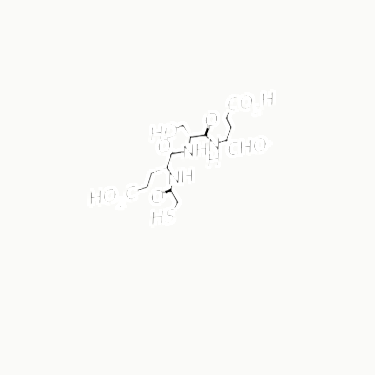 O=[C][C@H](CCC(=O)O)NC(=O)[C@H](CO)NC(=O)[C@H](CCC(=O)O)NC(=O)CS